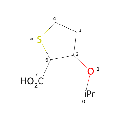 CC(C)OC1CCSC1C(=O)O